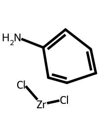 Nc1ccccc1.[Cl][Zr][Cl]